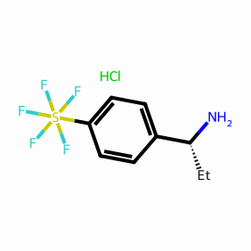 CC[C@@H](N)c1ccc(S(F)(F)(F)(F)F)cc1.Cl